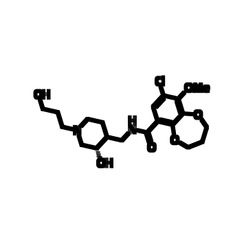 COc1c(Cl)cc(C(=O)NCC2CCN(CCCO)C[C@H]2O)c2c1OCCCO2